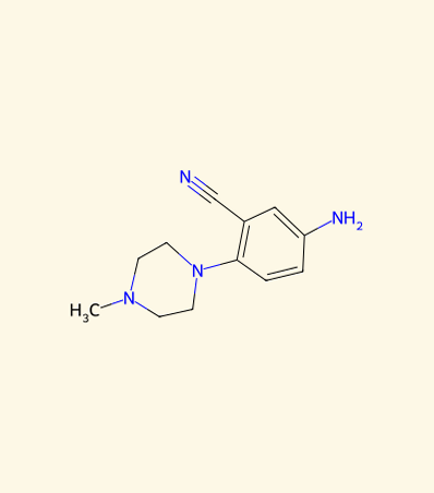 CN1CCN(c2ccc(N)cc2C#N)CC1